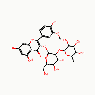 COc1cc(-c2oc3cc(O)cc(O)c3c(=O)c2O[C@@H]2OC(CO)[C@H](O)C(O)C2O[C@@H]2OC(C)[C@H](O)C(O)C2O)ccc1O